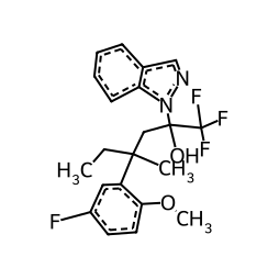 CCC(C)(CC(O)(n1ncc2ccccc21)C(F)(F)F)c1cc(F)ccc1OC